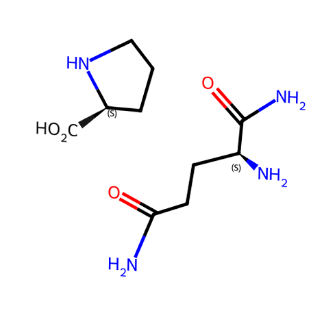 NC(=O)CC[C@H](N)C(N)=O.O=C(O)[C@@H]1CCCN1